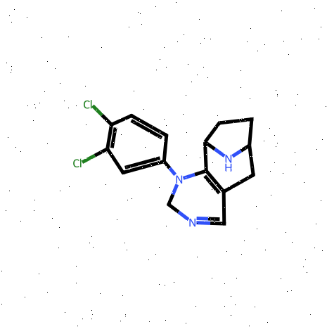 Clc1ccc(N2CN=CC3=C2C2CCC(C3)N2)cc1Cl